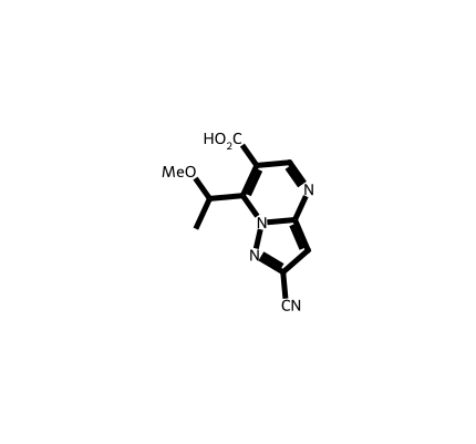 COC(C)c1c(C(=O)O)cnc2cc(C#N)nn12